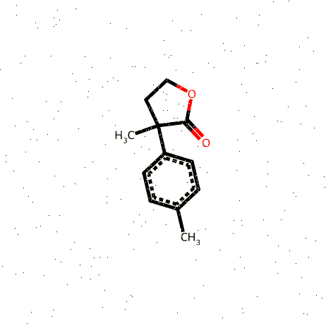 Cc1ccc(C2(C)CCOC2=O)cc1